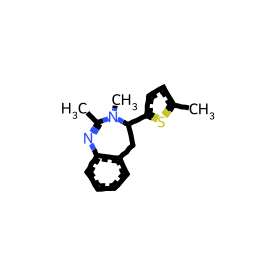 CC1=Nc2ccccc2CC(c2ccc(C)s2)N1C